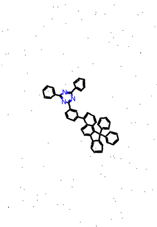 c1ccc(-c2nc(-c3ccccc3)nc(-c3cccc(-c4cccc5c6c(ccc45)-c4ccccc4C6(c4ccccc4)c4ccccc4)c3)n2)cc1